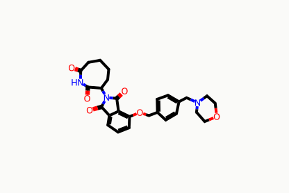 O=C1CCCCC(N2C(=O)c3cccc(OCc4ccc(CN5CCOCC5)cc4)c3C2=O)C(=O)N1